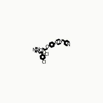 Clc1ccc(C2(Cn3cncn3)OCC(COc3ccc(N4CCN(Cc5ccncc5)CC4)cc3)O2)c(Cl)c1